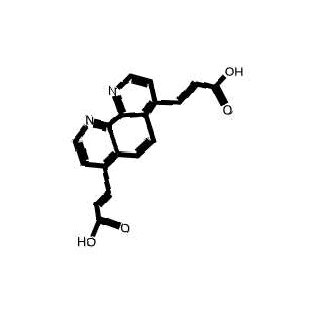 O=C(O)/C=C/c1ccnc2c1ccc1c(/C=C/C(=O)O)ccnc12